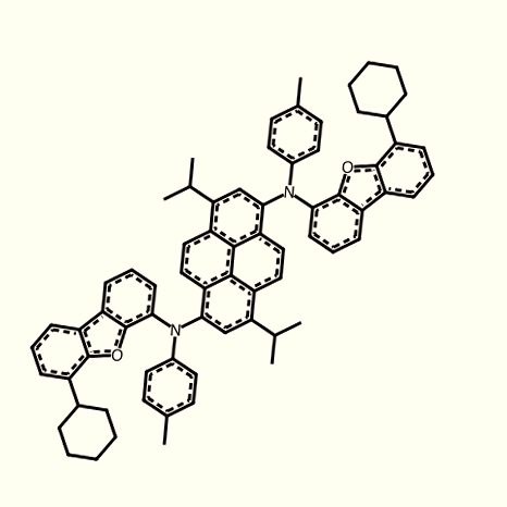 Cc1ccc(N(c2cc(C(C)C)c3ccc4c(N(c5ccc(C)cc5)c5cccc6c5oc5c(C7CCCCC7)cccc56)cc(C(C)C)c5ccc2c3c54)c2cccc3c2oc2c(C4CCCCC4)cccc23)cc1